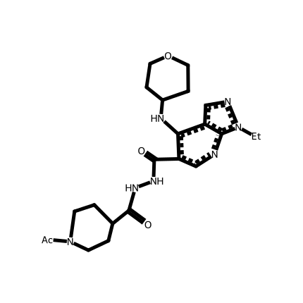 CCn1ncc2c(NC3CCOCC3)c(C(=O)NNC(=O)C3CCN(C(C)=O)CC3)cnc21